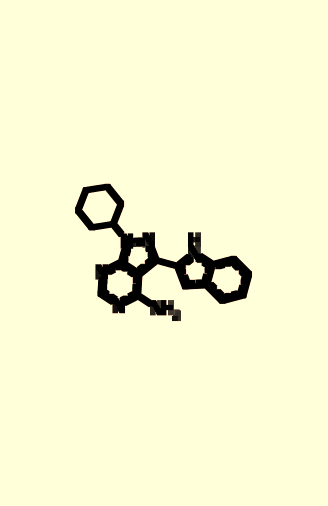 Nc1ncnc2c1c(-c1cc3ccccc3[nH]1)nn2C1CCCCC1